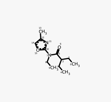 CCC(CC)C(=O)N(CC)c1nc(C)co1